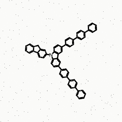 c1ccc(-c2ccc(-c3ccc(-c4ccc5c(c4)c4cc(-c6ccc(-c7ccc(-c8ccccc8)cc7)cc6)ccc4n5-c4ccc5c(c4)Cc4ccccc4-5)cc3)cc2)cc1